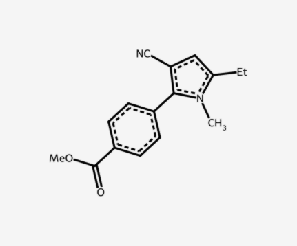 CCc1cc(C#N)c(-c2ccc(C(=O)OC)cc2)n1C